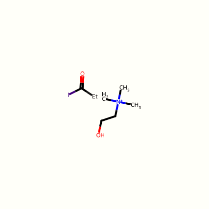 CCC(=O)I.C[N+](C)(C)CCO